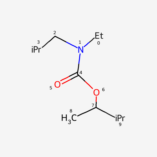 CCN(CC(C)C)C(=O)OC(C)C(C)C